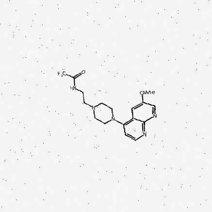 COc1cnc2nccc(N3CCN(CCNC(=O)C(F)(F)F)CC3)c2c1